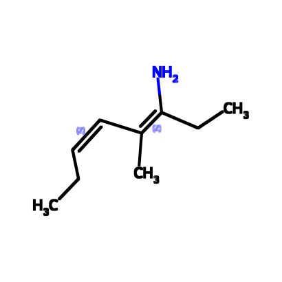 CC/C=C\C(C)=C(/N)CC